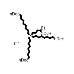 CCCCCCCCCCCCCCCCCC[P+](CCCCCCCCCCCCCCCCCC)(CCCCCCCCCCCCCCCCCC)CCCC(CC)C(=O)O.[Cl-]